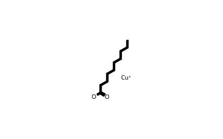 CCCCCCCCCC(=O)[O-].[Cu+]